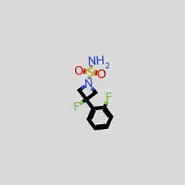 NS(=O)(=O)N1CC(F)(c2ccccc2F)C1